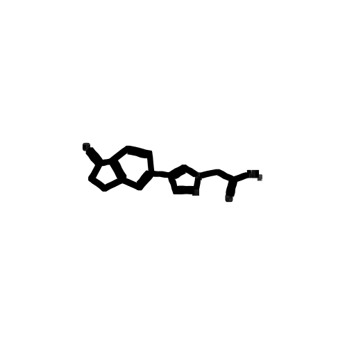 NC(=O)Cn1cc(-c2ccc3c(c2)CCC3=O)cn1